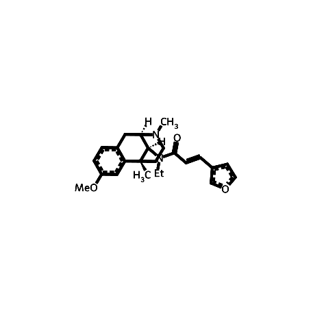 CCN(C(=O)/C=C/c1ccoc1)[C@@H]1[C@H]2Cc3ccc(OC)cc3[C@@]1(C)CCN2C